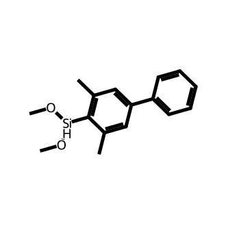 CO[SiH](OC)c1c(C)cc(-c2ccccc2)cc1C